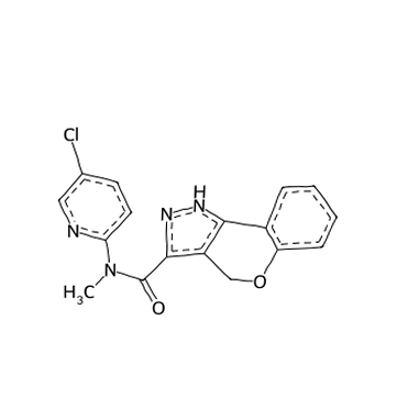 CN(C(=O)c1n[nH]c2c1COc1ccccc1-2)c1ccc(Cl)cn1